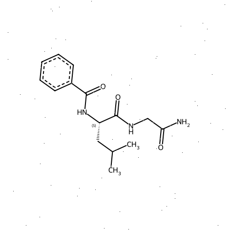 CC(C)C[C@H](NC(=O)c1ccccc1)C(=O)NCC(N)=O